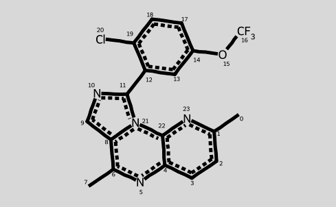 Cc1ccc2nc(C)c3cnc(-c4cc(OC(F)(F)F)ccc4Cl)n3c2n1